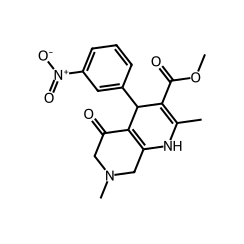 COC(=O)C1=C(C)NC2=C(C(=O)CN(C)C2)C1c1cccc([N+](=O)[O-])c1